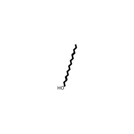 CCC/C=C/CCCCCCC/C=C/CCO